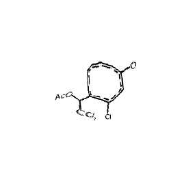 CC(=O)OC(c1ccc(Cl)cc1Cl)C(Cl)(Cl)Cl